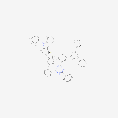 c1ccc(-c2cc(-c3ccccc3)cc(-c3ccc(-c4cccc5c4sc4c5ccc5c4c4ccccc4n5-c4ccccc4)c(-c4nc(-c5ccccc5)nc(-c5ccccc5)n4)c3)c2)cc1